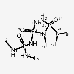 CNP(=O)(NI)NP(N)(=O)N(I)P(N)(=O)N(C)I